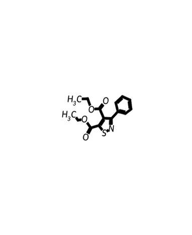 CCOC(=O)c1snc(-c2ccccc2)c1C(=O)OCC